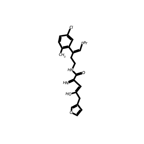 CCC/C=C(/CCNC(=O)C(=N)/C=C(\O)Cc1ccoc1)c1cc(Cl)ccc1C